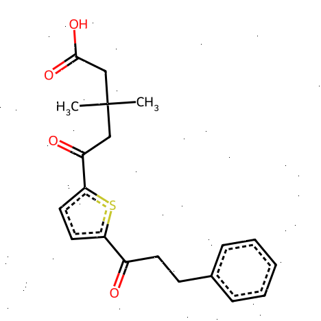 CC(C)(CC(=O)O)CC(=O)c1ccc(C(=O)CCc2ccccc2)s1